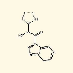 O=C(C1=NN=C2CC=NC=C21)C(O)C1CCCN1